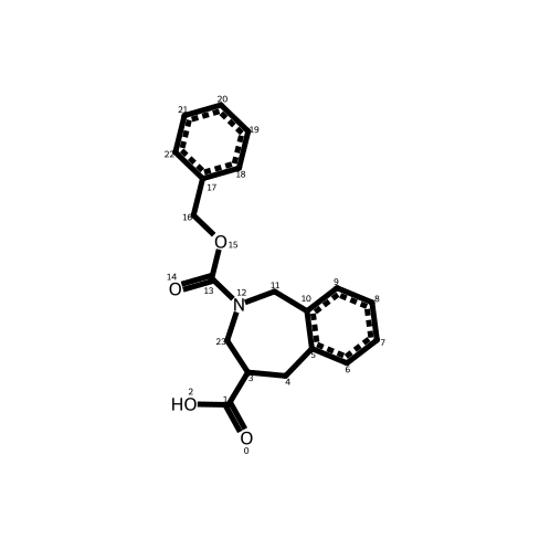 O=C(O)C1Cc2ccccc2CN(C(=O)OCc2ccccc2)C1